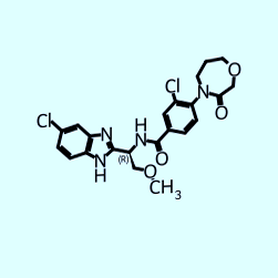 COC[C@H](NC(=O)c1ccc(N2CCCOCC2=O)c(Cl)c1)c1nc2cc(Cl)ccc2[nH]1